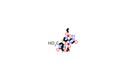 C=CCOC(=O)N1CC(=O)NCC1[C@@H]1C[C@H](SC2=C(C(=O)O)N3C(=O)[C@H]([C@@H](C)O)[C@H]3[C@H]2C)CN1C(=O)OCC=C